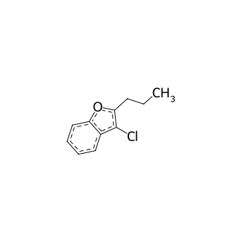 CCCc1oc2ccccc2c1Cl